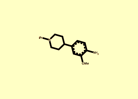 COc1cc(C2CCN(C(C)C)CC2)ccc1N